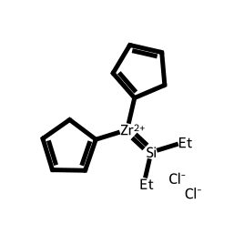 CC[Si](CC)=[Zr+2]([C]1=CC=CC1)[C]1=CC=CC1.[Cl-].[Cl-]